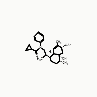 CC(=O)O[C@@H]1[CH][C@@]2(O)[C@H](C)CC[C@@H](C(C)CN(C(=O)C3CC3)c3ccccc3)[C@H]2C=C1C